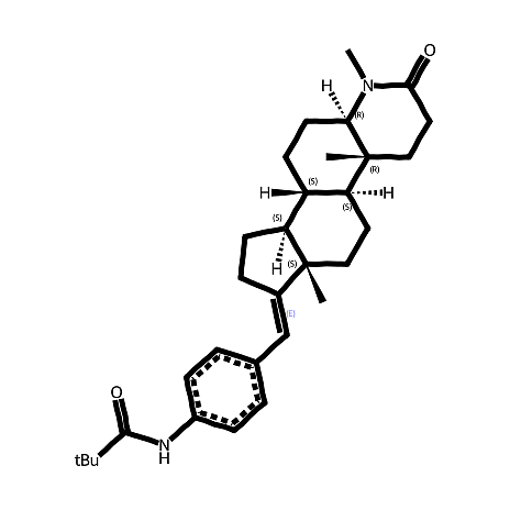 CN1C(=O)CC[C@]2(C)[C@H]3CC[C@]4(C)/C(=C/c5ccc(NC(=O)C(C)(C)C)cc5)CC[C@H]4[C@@H]3CC[C@@H]12